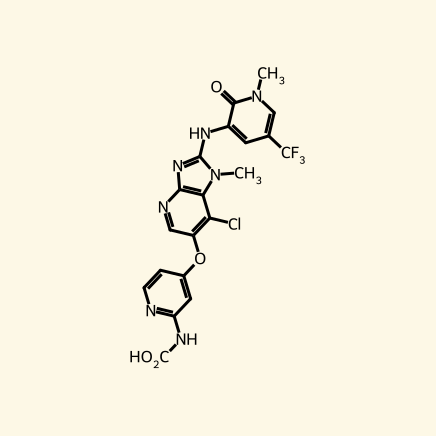 Cn1cc(C(F)(F)F)cc(Nc2nc3ncc(Oc4ccnc(NC(=O)O)c4)c(Cl)c3n2C)c1=O